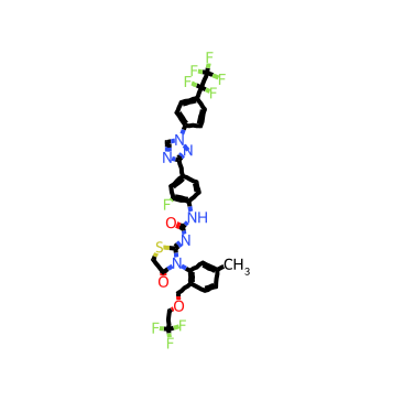 Cc1ccc(COCC(F)(F)F)c(N2C(=O)CS/C2=N\C(=O)Nc2ccc(-c3ncn(-c4ccc(C(F)(F)C(F)(F)F)cc4)n3)cc2F)c1